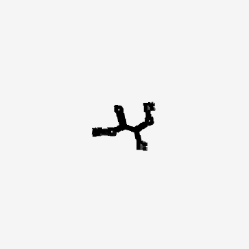 CCOC(CC)C(=O)OC